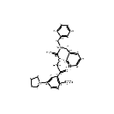 COc1ccc(N2CCCC2)cc1C(=O)NOC(=O)N(Cc1ccccc1)Cc1cccnc1